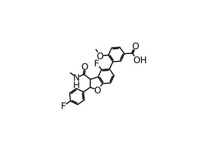 CNC(=O)C1c2c(ccc(-c3cc(C(=O)O)ccc3OC)c2F)OC1c1ccc(F)cc1